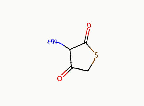 [NH]C1C(=O)CSC1=O